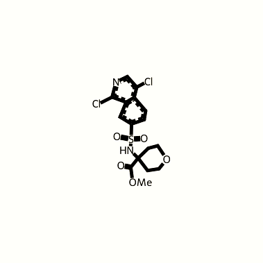 COC(=O)C1(NS(=O)(=O)c2ccc3c(Cl)cnc(Cl)c3c2)CCOCC1